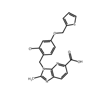 Cc1nc2ccc(C(=O)O)nc2n1Cc1ccc(OCc2cccs2)cc1Cl